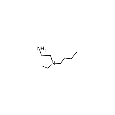 CCCCN(CC)CCN